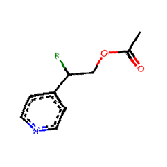 CC(=O)OCC(F)c1ccncc1